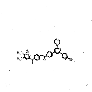 C/C(=C/C(=O)Nc1ccc(CC(=O)N2CC=C(c3cc(-c4cnc(N)nc4)nc(N4CCOCC4)c3)CC2)cc1)C(C)C